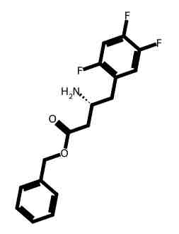 N[C@@H](CC(=O)OCc1ccccc1)Cc1cc(F)c(F)cc1F